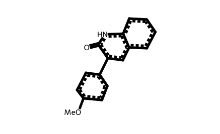 COc1ccc(-c2cc3ccccc3[nH]c2=O)cc1